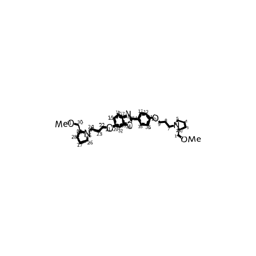 COC[C@@H]1CCCN1CCCOc1ccc(-c2nc3ccc(OCCCN4CCC[C@H]4COC)cc3o2)cc1